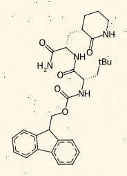 CC(C)(C)C[C@H](NC(=O)OCC1c2ccccc2-c2ccccc21)C(=O)N[C@@H](C[C@@H]1CCCNC1=O)C(N)=O